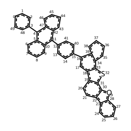 c1ccc(-c2c3ccccc3c(-c3ccc(-c4cc5c6ccc7c8ccccc8oc7c6sc5c5ccccc45)cc3)c3ccccc23)cc1